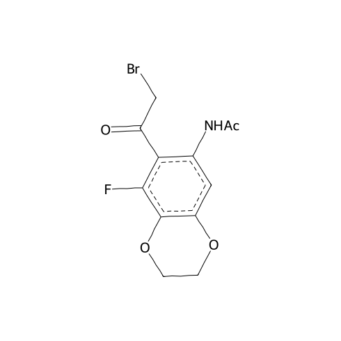 CC(=O)Nc1cc2c(c(F)c1C(=O)CBr)OCCO2